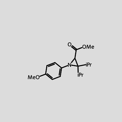 COC(=O)C1N(c2ccc(OC)cc2)C1(C(C)C)C(C)C